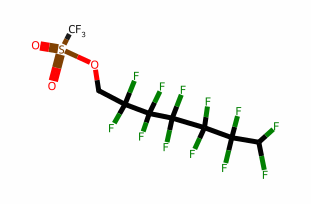 O=S(=O)(OCC(F)(F)C(F)(F)C(F)(F)C(F)(F)C(F)(F)C(F)F)C(F)(F)F